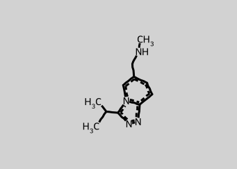 CNCc1ccc2nnc(C(C)C)n2c1